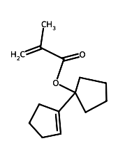 C=C(C)C(=O)OC1(C2=CCCC2)CCCC1